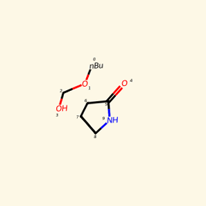 CCCCOCO.O=C1CCCN1